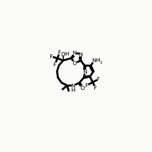 CC1(C)CCCC[C@](O)(C(F)(F)F)c2nnc(o2)-c2nc(c(C(F)(F)F)cc2N)C(=O)N1